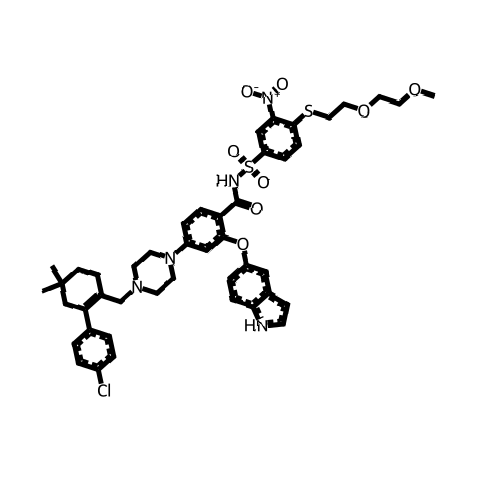 COCCOCCSc1ccc(S(=O)(=O)NC(=O)c2ccc(N3CCN(CC4=C(c5ccc(Cl)cc5)CC(C)(C)CC4)CC3)cc2Oc2ccc3[nH]ccc3c2)cc1[N+](=O)[O-]